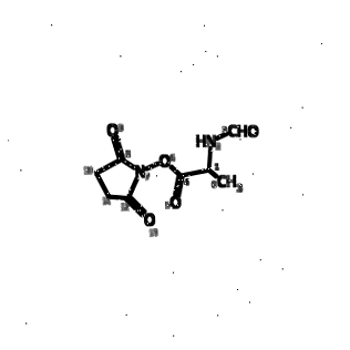 CC(NC=O)C(=O)ON1C(=O)CCC1=O